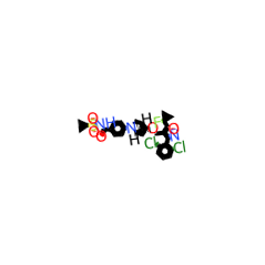 O=C(NS(=O)(=O)C1CC1)c1ccc(N2C[C@@H]3C[C@H]2C[C@H]3OCc2c(-c3c(Cl)cccc3Cl)noc2C2(F)CC2)cc1